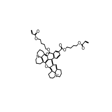 C=CC(=O)OCCCCOC(=O)c1ccc(C2=c3cc4c5c(c3Oc3c2cc2c6c3CCCN6CCC2)CCC[N+]=5CCC4)c(C(=O)OCCCCOC(=O)C=C)c1